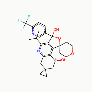 CC(C)c1nc2c(c3c1C(O)(c1ccc(C(F)(F)F)nc1)OC31CCOCC1)[C@@H](O)CC1(CC1)C2